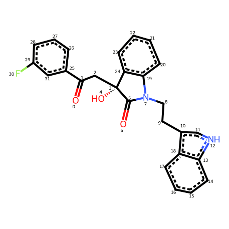 O=C(C[C@]1(O)C(=O)N(CCc2c[nH]c3ccccc23)c2ccccc21)c1cccc(F)c1